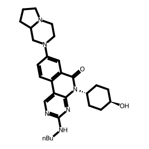 CCCCNc1ncc2c3ccc(N4CCN5CCCC5C4)cc3c(=O)n([C@H]3CC[C@H](O)CC3)c2n1